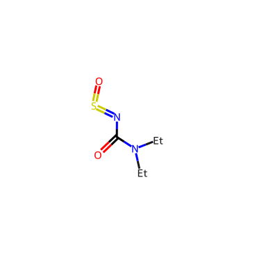 CCN(CC)C(=O)N=S=O